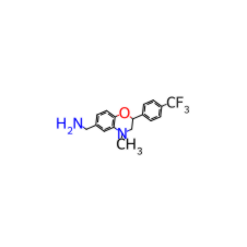 CN1CC(c2ccc(C(F)(F)F)cc2)Oc2ccc(CN)cc21